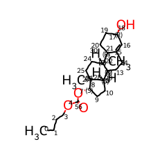 CCCCOC(=O)O[C@H]1CC[C@H]2[C@@H]3CCC4=C[C@H](O)CC[C@]4(C)[C@H]3CC[C@]12C